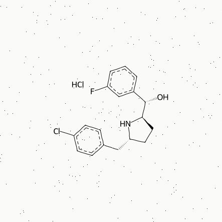 Cl.O[C@@H](c1cccc(F)c1)[C@H]1CC[C@H](Cc2ccc(Cl)cc2)N1